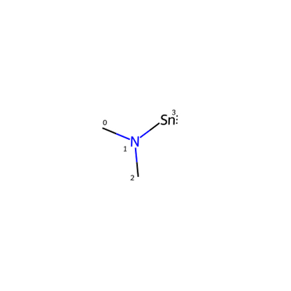 C[N](C)[Sn]